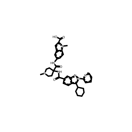 CN1CCC(NC(=O)c2ccc3c(C4CCCCC4)n(-c4ccccn4)nc3c2)(C(=O)Nc2ccc3c(c2)cc(C(=O)O)n3C)CC1